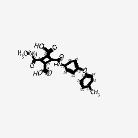 CNC(=O)C1C(C(=O)O)C(C(=O)Nc2ccc(Oc3ccc(C)cc3)cc2)C1C(=O)O